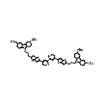 CC(C)(C)c1ccc2c(c1)c1cc(C(C)(C)C)ccc1n2CCCc1cc2sc(-c3ccnc(-c4cc(-c5cc6sc(CCCn7c8ccc(C(C)(C)C)cc8c8cc(C(C)(C)C)ccc87)cc6s5)ccn4)c3)cc2s1